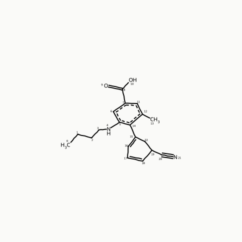 CCCCNc1cc(C(=O)O)cc(C)c1C1=CC=CC(C#N)C1